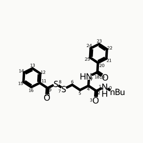 CCCCNC(=O)C(CCSSC(=O)c1ccccc1)NC(=O)c1ccccc1